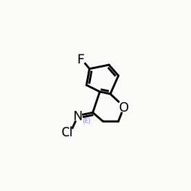 Fc1ccc2c(c1)/C(=N/Cl)CCO2